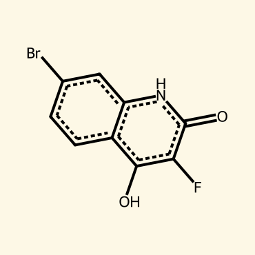 O=c1[nH]c2cc(Br)ccc2c(O)c1F